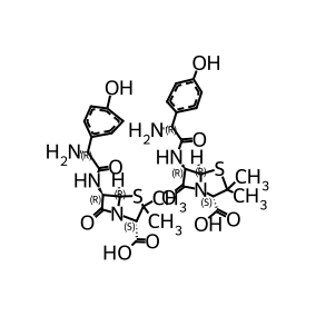 CC1(C)S[C@@H]2[C@H](NC(=O)[C@H](N)c3ccc(O)cc3)C(=O)N2[C@H]1C(=O)O.CC1(C)S[C@@H]2[C@H](NC(=O)[C@H](N)c3ccc(O)cc3)C(=O)N2[C@H]1C(=O)O